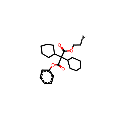 CC(C)CCOC(=O)C(C(=O)Oc1ccccc1)(C1CCCCC1)C1CCCCC1